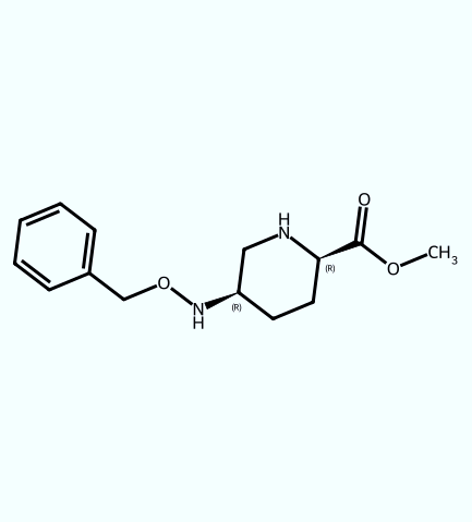 COC(=O)[C@H]1CC[C@@H](NOCc2ccccc2)CN1